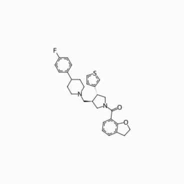 O=C(c1cccc2c1OCC2)N1C[C@@H](CN2CCC(c3ccc(F)cc3)CC2)[C@H](c2ccsc2)C1